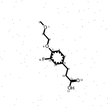 COCCOc1ccc(CCC(=O)O)cc1F